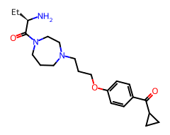 CC[C@@H](N)C(=O)N1CCCN(CCCOc2ccc(C(=O)C3CC3)cc2)CC1